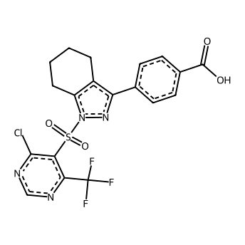 O=C(O)c1ccc(-c2nn(S(=O)(=O)c3c(Cl)ncnc3C(F)(F)F)c3c2CCCC3)cc1